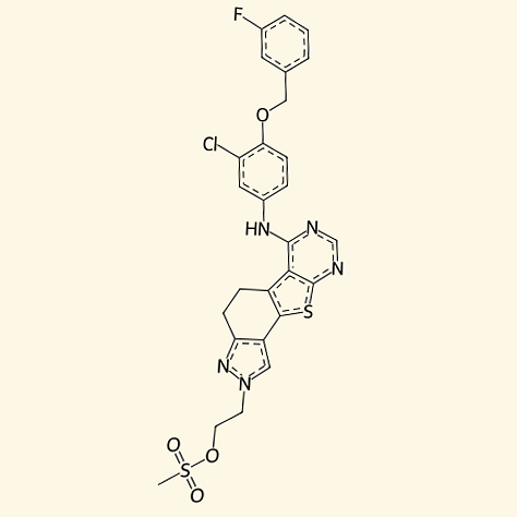 CS(=O)(=O)OCCn1cc2c(n1)CCc1c-2sc2ncnc(Nc3ccc(OCc4cccc(F)c4)c(Cl)c3)c12